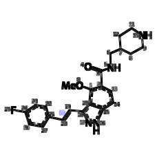 COc1c(C(=O)NCC2CCNCC2)ccc2[nH]nc(/C=C/c3ccc(F)cc3)c12